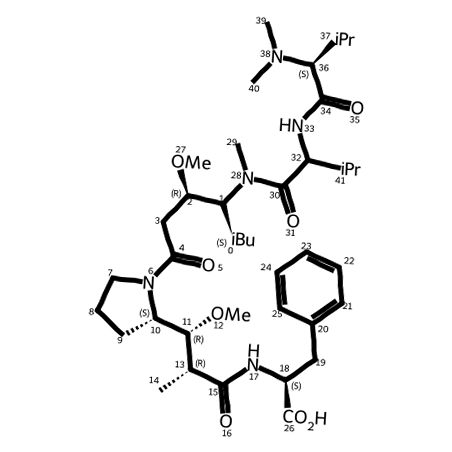 CC[C@H](C)C([C@@H](CC(=O)N1CCC[C@H]1[C@H](OC)[C@@H](C)C(=O)N[C@@H](Cc1ccccc1)C(=O)O)OC)N(C)C(=O)C(NC(=O)[C@H](C(C)C)N(C)C)C(C)C